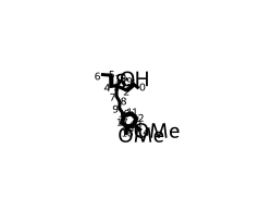 C/C=C/C(/C=C/C)(CCCc1ccc(OC)c(OC)c1)SO